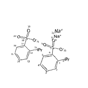 CC(C)c1ccccc1S(=O)(=O)[O-].CC(C)c1ccccc1S(=O)(=O)[O-].[Na+].[Na+]